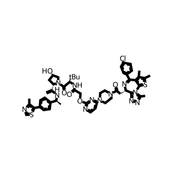 C=C(N[C@@H](C)c1ccc(-c2scnc2C)cc1)[C@@H]1C[C@@H](O)CN1C(=O)[C@@H](NC(=O)COc1nccc(N2CCN(C(=O)C[C@@H]3N=C(c4ccc(Cl)cc4)c4c(sc(C)c4C)-n4c(C)nnc43)CC2)n1)C(C)(C)C